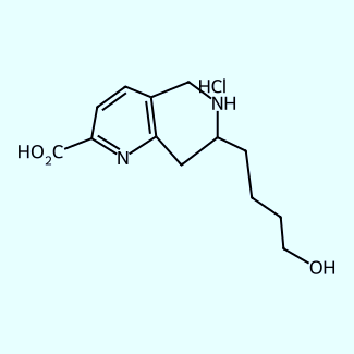 Cl.O=C(O)c1ccc2c(n1)CC(CCCCO)NC2